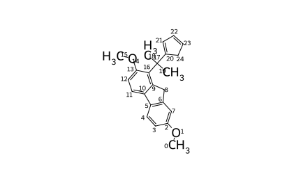 COc1ccc2c(c1)Cc1c-2ccc(OC)c1C(C)(C)C1=CC=CC1